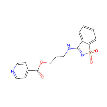 O=C(OCCCNC1=NS(=O)(=O)c2ccccc21)c1ccncc1